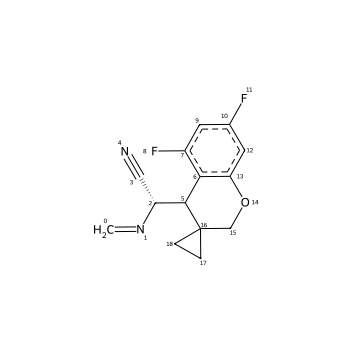 C=N[C@H](C#N)C1c2c(F)cc(F)cc2OCC12CC2